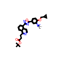 [C-]#[N+]c1cc(-c2nc(-c3cccc4c(CCC(=O)OC(C)(C)C)nccc34)no2)ccc1OCC1CC1